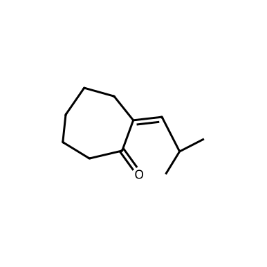 CC(C)/C=C1/CCCCCC1=O